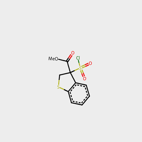 COC(=O)C1(S(=O)(=O)Cl)CSc2ccccc21